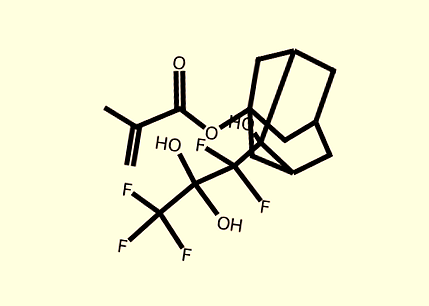 C=C(C)C(=O)OC12CC3CC(C1)C(O)(C(F)(F)C(O)(O)C(F)(F)F)C(C3)C2